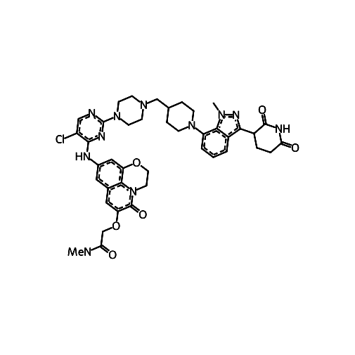 CNC(=O)COc1cc2cc(Nc3nc(N4CCN(CC5CCN(c6cccc7c(C8CCC(=O)NC8=O)nn(C)c67)CC5)CC4)ncc3Cl)cc3c2n(c1=O)CCO3